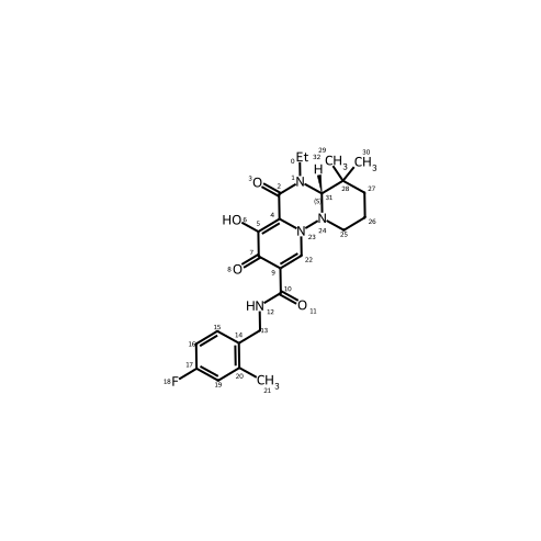 CCN1C(=O)c2c(O)c(=O)c(C(=O)NCc3ccc(F)cc3C)cn2N2CCCC(C)(C)[C@@H]12